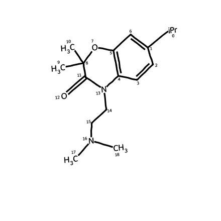 CC(C)c1ccc2c(c1)OC(C)(C)C(=O)N2CCN(C)C